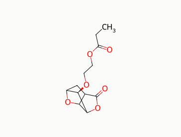 CCC(=O)OCCO[C@@H]1C2CC3C(=O)OC1C3O2